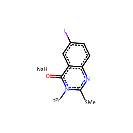 CCCn1c(SC)nc2ccc(I)cc2c1=O.[NaH]